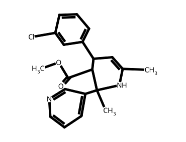 COC(=O)C1C(c2cccc(Cl)c2)C=C(C)NC1(C)c1cccnc1